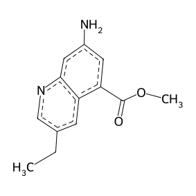 CCc1cnc2cc(N)cc(C(=O)OC)c2c1